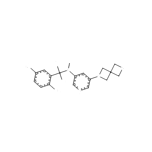 Cc1ccc(C#N)cc1C(C)(C)N(C=O)c1cncc(N2CC3(CNC3)C2)c1